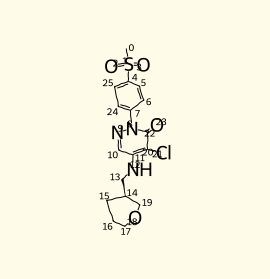 CS(=O)(=O)c1ccc(-n2ncc(NC[C@@H]3CCCOC3)c(Cl)c2=O)cc1